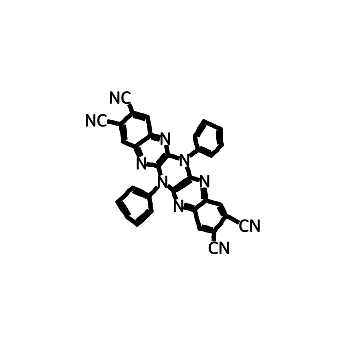 N#Cc1cc2nc3c(nc2cc1C#N)N(c1ccccc1)c1nc2cc(C#N)c(C#N)cc2nc1N3c1ccccc1